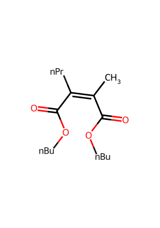 CCCCOC(=O)C(C)=C(CCC)C(=O)OCCCC